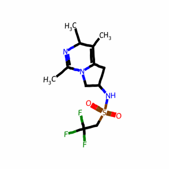 CC1=NC(C)C(C)=C2CC(NS(=O)(=O)CC(F)(F)F)CN12